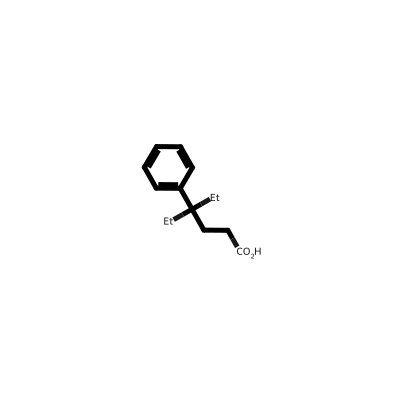 CCC(CC)(CCC(=O)O)c1ccccc1